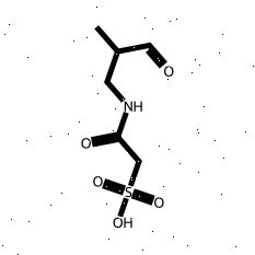 CC(C=O)CNC(=O)CS(=O)(=O)O